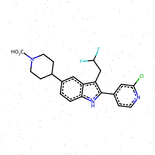 O=C(O)N1CCC(c2ccc3[nH]c(-c4ccnc(Cl)c4)c(CC(F)F)c3c2)CC1